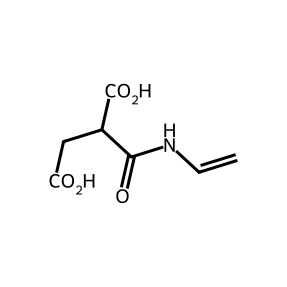 C=CNC(=O)C(CC(=O)O)C(=O)O